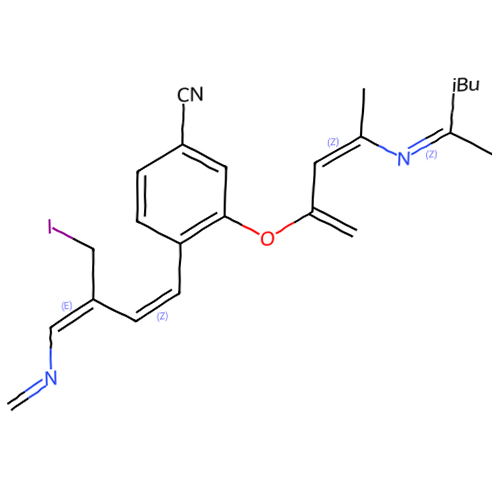 C=N/C=C(\C=C/c1ccc(C#N)cc1OC(=C)/C=C(C)\N=C(\C)C(C)CC)CI